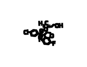 C[C@H](CCO)OC1COc2c(F)ccc(F)c2C1S(=O)(=O)c1ccc(Cl)cc1